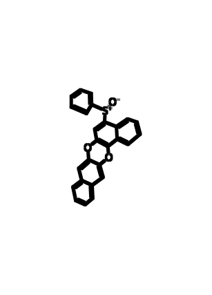 [O-][S+](c1ccccc1)c1cc2c(c3ccccc13)Oc1cc3ccccc3cc1O2